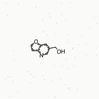 OCc1cnc2ccoc2c1